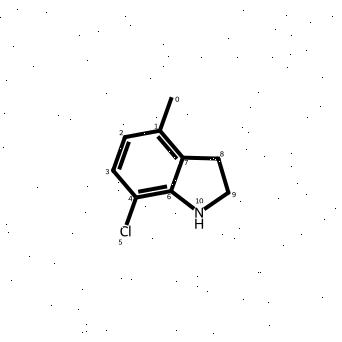 Cc1ccc(Cl)c2c1CCN2